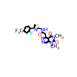 Cn1c(=O)c2c(CC(=O)Nc3nc(-c4ccc(C(F)(F)F)cc4F)cs3)nncc2n(C)c1=O